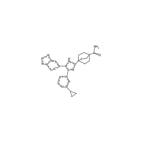 NC(=O)C12CCC(c3nc(-c4cccc(C5CC5)n4)c(-c4ccc5ncnn5c4)[nH]3)(CC1)CC2